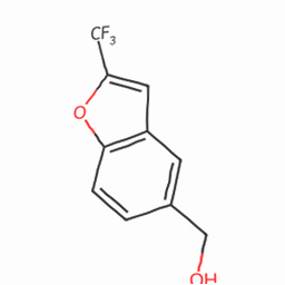 OCc1ccc2oc(C(F)(F)F)cc2c1